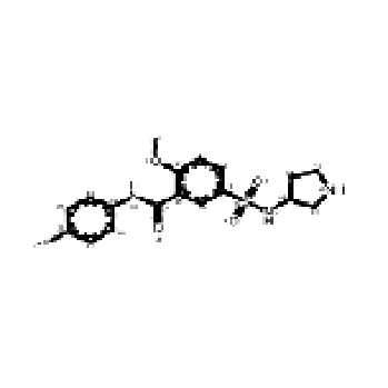 COc1ccc(S(=O)(=O)NC2CCNC2)cc1C(=O)Nc1ccc(F)cc1